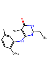 CCC(C)Cc1nc(Nc2cc(C)ccc2OC)c(C#N)c(=O)[nH]1